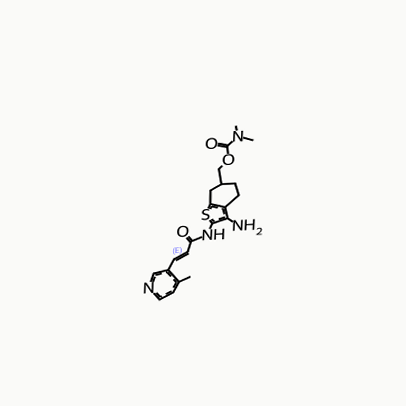 Cc1ccncc1/C=C/C(=O)Nc1sc2c(c1N)CCC(COC(=O)N(C)C)C2